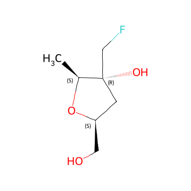 C[C@@H]1O[C@H](CO)C[C@]1(O)CF